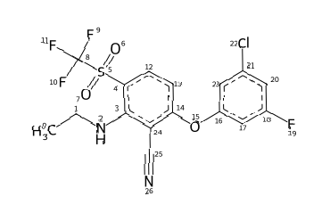 CCNc1c(S(=O)(=O)C(F)(F)F)ccc(Oc2cc(F)cc(Cl)c2)c1C#N